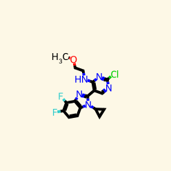 COCCNc1nc(Cl)ncc1-c1nc2c(F)c(F)ccc2n1C1CC1